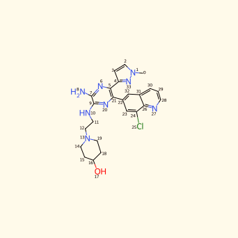 Cn1ccc(-c2nc(N)c(NCCN3CCC(O)CC3)nc2-c2cc(Cl)c3ncccc3c2)n1